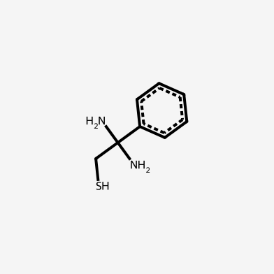 NC(N)(CS)c1ccccc1